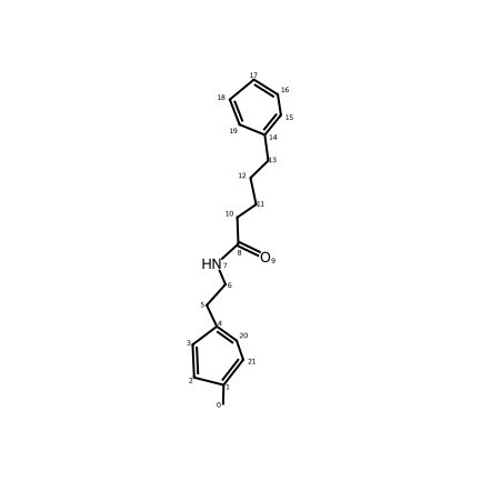 Cc1ccc(CCNC(=O)CCCCc2ccccc2)cc1